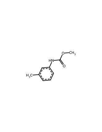 COC(=O)Nc1cccc(C)c1